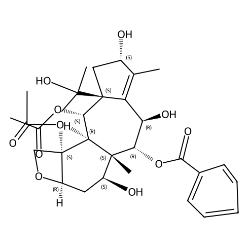 CC(=O)O[C@H]1[C@@H]2[C@]3(OC(C)=O)CO[C@@H]3C[C@H](O)[C@@]2(C)[C@@H](OC(=O)c2ccccc2)[C@H](O)C2=C(C)[C@@H](O)C[C@]21C(C)(C)O